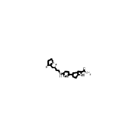 NC(=O)c1cc2cc(-c3ccc(NCC[C@H](F)Cc4ncccc4F)nn3)ccc2[nH]1